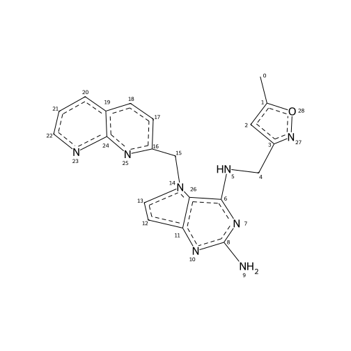 Cc1cc(CNc2nc(N)nc3ccn(Cc4ccc5cccnc5n4)c23)no1